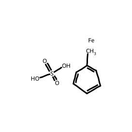 Cc1ccccc1.O=S(=O)(O)O.[Fe]